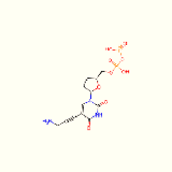 NCC#Cc1cn([C@H]2CC[C@@H](COP(=O)(O)O[PH](=O)O)O2)c(=O)[nH]c1=O